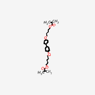 C=C(C)C(=O)OCCCCCOc1ccc(-c2ccc(OCCCCCOC(=O)C(=C)C)cc2)cc1